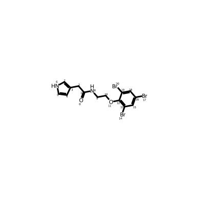 O=C(Cc1cc[nH]c1)NCCOc1c(Br)cc(Br)cc1Br